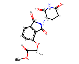 C[C@@H](Oc1cccc2c1C(=O)N([C@H]1CCC(=O)NC1=O)C2=O)C(=O)OC(C)(C)C